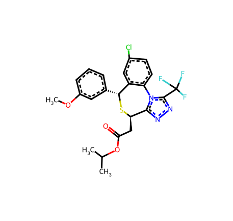 COc1cccc([C@H]2S[C@H](CC(=O)OC(C)C)c3nnc(C(F)(F)F)n3-c3ccc(Cl)cc32)c1